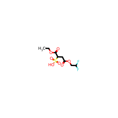 CCOC(=O)C(CC(=O)OCC(F)F)S(=O)(=O)O